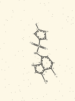 Cn1cc(S(=O)(=O)Nc2ccc(F)c3c(C#N)c[nH]c23)cn1